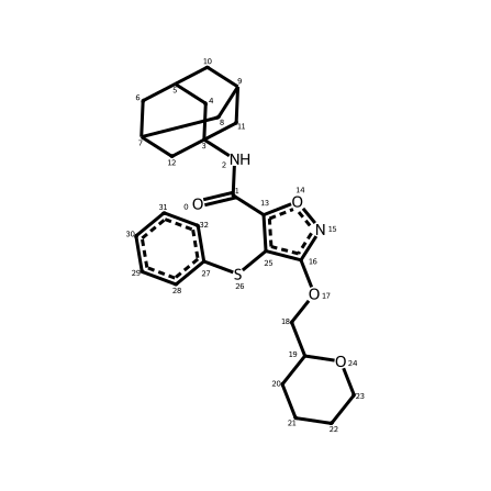 O=C(NC12CC3CC(CC(C3)C1)C2)c1onc(OCC2CCCCO2)c1Sc1ccccc1